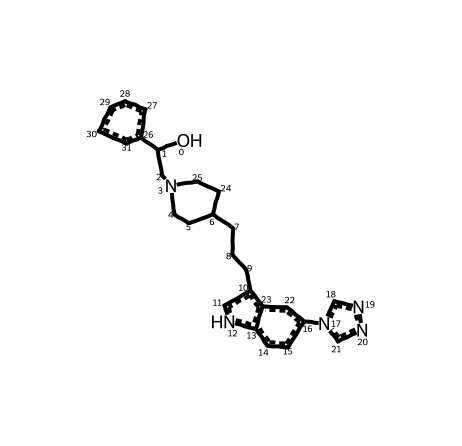 OC(CN1CCC(CCCc2c[nH]c3ccc(-n4cnnc4)cc23)CC1)c1ccccc1